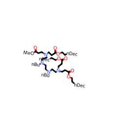 CCCCCCCCCCCCOC(=O)CCN(CCC(=O)OC)CCN(CCCC)CCN(CCCC)CCN(CCC(=O)OCCCCCCCCCCCC)CCC(=O)OCCCCCCCCCCCC